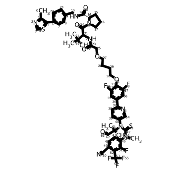 Cc1ncsc1-c1ccc(CNC(=O)[C@@H]2CCCN2C(=O)C(NC(=O)COCCCCOc2c(F)cc(-c3ccc(N(C(=S)N(C)c4ccc(C#N)c(C(F)(F)F)c4F)C(C)(C)C=O)cn3)cc2F)C(C)(C)C)cc1